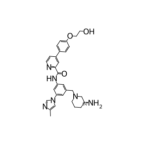 Cc1cn(-c2cc(CN3CCC[C@H](N)C3)cc(NC(=O)c3cc(-c4ccc(OCCO)cc4)ccn3)c2)cn1